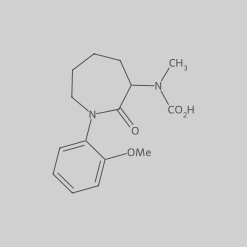 COc1ccccc1N1CCCCC(N(C)C(=O)O)C1=O